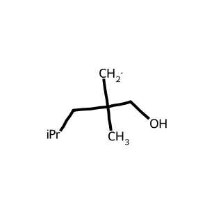 [CH2]C(C)(CO)CC(C)C